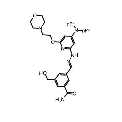 CCCN(CCC)c1cc(N/N=C/c2cc(CO)cc(C(N)=O)c2)nc(OCCN2CCOCC2)c1